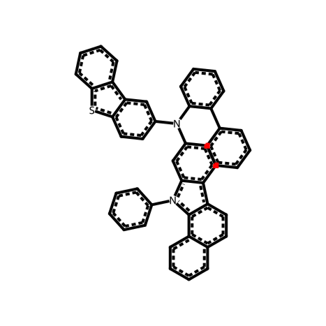 c1ccc(-c2ccccc2N(c2ccc3sc4ccccc4c3c2)c2ccc3c4ccc5ccccc5c4n(-c4ccccc4)c3c2)cc1